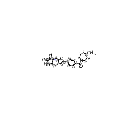 CN1CCCN(C(=O)c2ccc(-c3ccc(/C=C4/NC(=O)NC4=O)o3)cc2)CC1